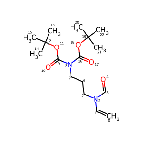 C=CN(C=O)CCCN(C(=O)OC(C)(C)C)C(=O)OC(C)(C)C